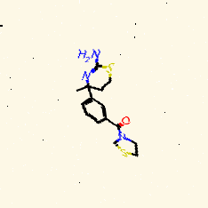 CC1(c2cccc(C(=O)N3CCSC3)c2)CCSC(N)=N1